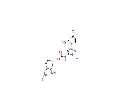 CCN/C=C1/C=CC(COC(=O)Nc2cc(-c3ccc(Cl)cc3OC)nn2CC)=CC1=N